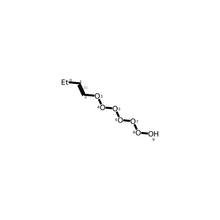 CC/C=C/OOOOOOO